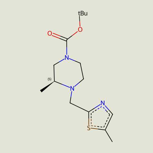 Cc1cnc(CN2CCN(C(=O)OC(C)(C)C)C[C@@H]2C)s1